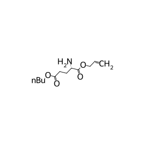 C=CCOC(=O)[C@@H](N)CCC(=O)OCCCC